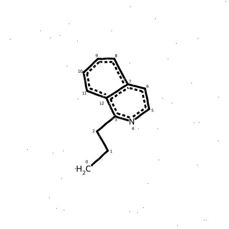 [CH2]CCc1nccc2ccccc12